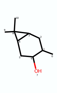 CC1C[C]2C(CC1O)C2(C)C